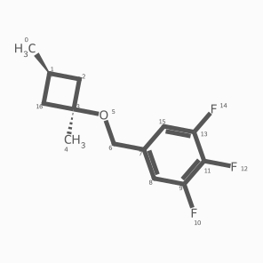 C[C@H]1C[C@@](C)(OCc2cc(F)c(F)c(F)c2)C1